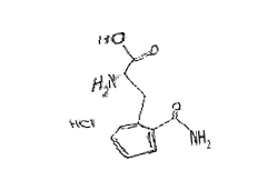 Cl.NC(=O)c1ccccc1C[C@H](N)C(=O)O